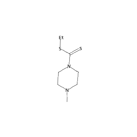 CCSC(=S)N1CCN(C)CC1